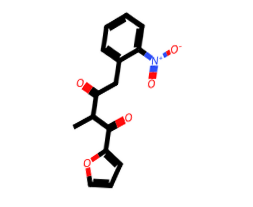 CC(C(=O)Cc1ccccc1[N+](=O)[O-])C(=O)c1ccco1